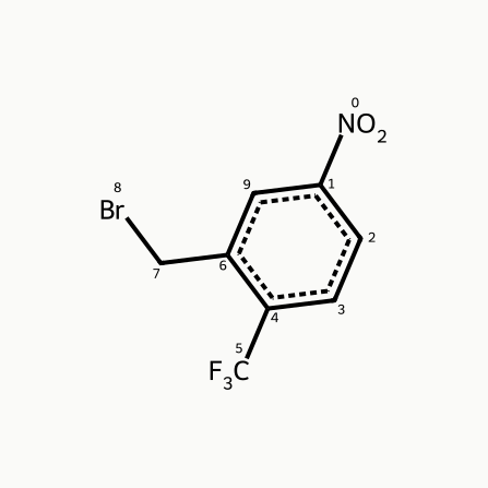 O=[N+]([O-])c1ccc(C(F)(F)F)c(CBr)c1